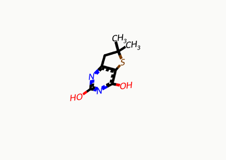 CC1(C)Cc2nc(O)nc(O)c2S1